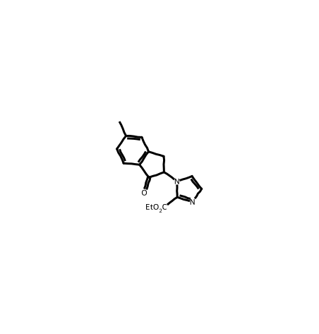 CCOC(=O)c1nccn1C1Cc2cc(C)ccc2C1=O